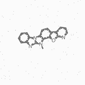 Cn1c2c3oc4ncccc4c3ccc2n2c3ccccc3nc12